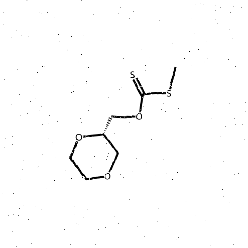 CSC(=S)OC[C@@H]1COCCO1